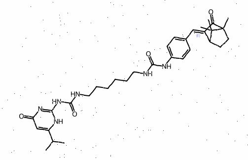 CC(C)c1cc(=O)nc(NC(=O)NCCCCCCNC(=O)Nc2ccc(/C=C3/C(=O)C4(C)CCC3C4(C)C)cc2)[nH]1